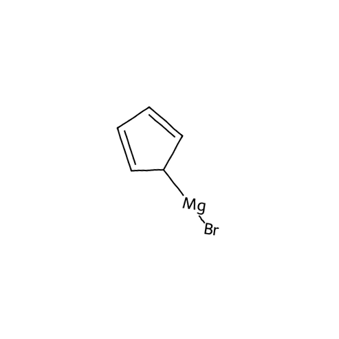 [Br][Mg][CH]1C=CC=C1